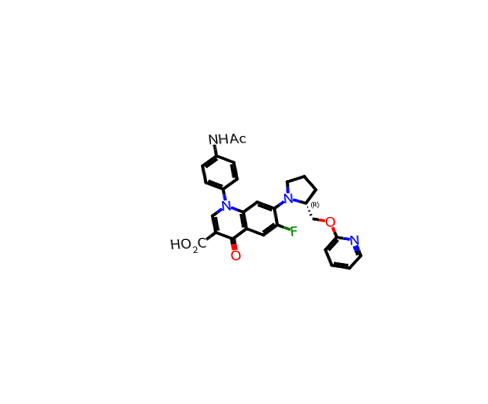 CC(=O)Nc1ccc(-n2cc(C(=O)O)c(=O)c3cc(F)c(N4CCC[C@@H]4COc4ccccn4)cc32)cc1